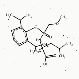 COCP(=O)(NC(C)(CC(C)C)C(=O)O)Oc1c(C(C)C)cccc1C(C)C